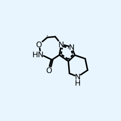 O=C1NO[CH]Cn2nc3c(c21)CNCC3